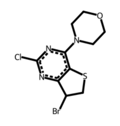 Clc1nc2c(c(N3CCOCC3)n1)SCC2Br